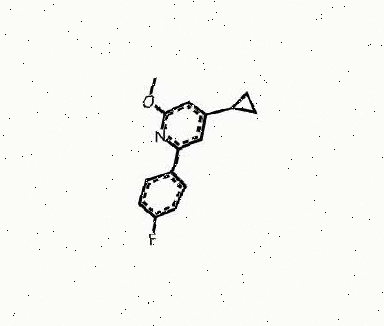 COc1cc(C2CC2)cc(-c2ccc(F)cc2)n1